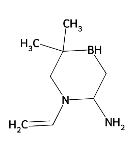 C=CN1CC(C)(C)BCC1N